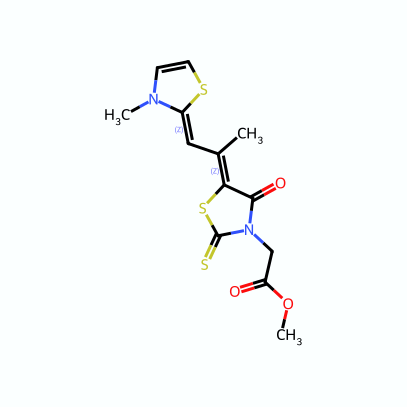 COC(=O)CN1C(=O)/C(=C(C)/C=C2\SC=CN2C)SC1=S